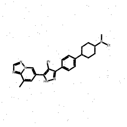 CCN(C)C1CCC(c2ccc(-c3n[nH]c(-c4cc(C)c5ncnn5c4)c3C(C)C)cc2)CC1